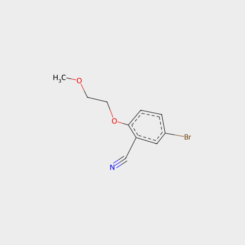 COCCOc1ccc(Br)cc1C#N